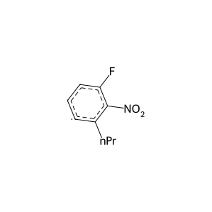 CCCc1[c]ccc(F)c1[N+](=O)[O-]